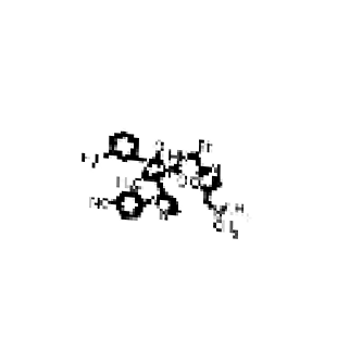 CC[C@H](NC(=O)n1c(-c2ccnn2-c2ccc(C#N)cc2)c(C)n(-c2cccc(C(F)(F)F)c2)c1=O)c1ncc(CN(C)C)o1